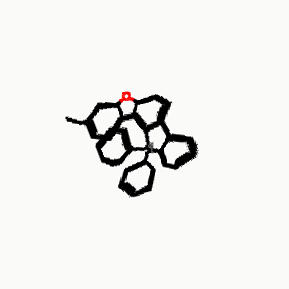 Cc1ccc2c(c1)oc1ccc3c(c12)[Si](c1ccccc1)(c1ccccc1)c1ccccc1-3